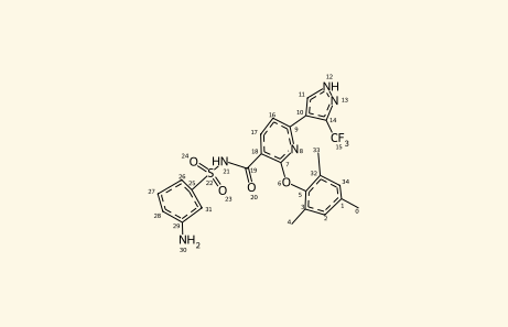 Cc1cc(C)c(Oc2nc(-c3c[nH]nc3C(F)(F)F)ccc2C(=O)NS(=O)(=O)c2cccc(N)c2)c(C)c1